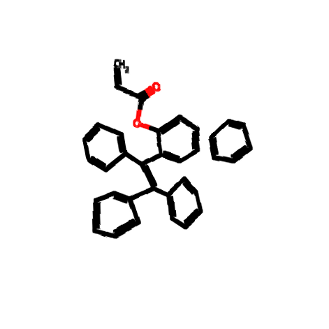 C=CC(=O)Oc1ccccc1C(=C(c1ccccc1)c1ccccc1)c1ccccc1.c1ccccc1